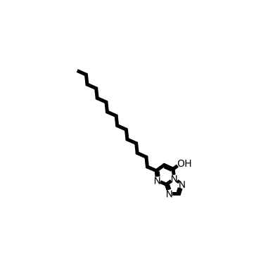 CCCCCCCCCCCCCCCc1cc(O)n2ncnc2n1